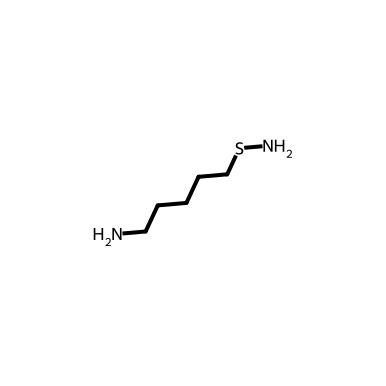 NCCCCCSN